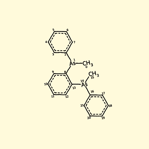 C[As](c1ccccc1)c1ccccc1[As](C)c1ccccc1